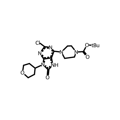 CC(C)(C)OC(=O)N1CCN(c2nc(Cl)nc3c2[nH]c(=O)n3C2CCOCC2)CC1